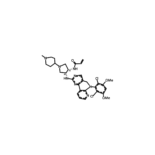 C=CC(=O)N[C@H]1CN(C2CCN(C)CC2)C[C@H]1Nc1ncc2c(n1)-c1cccnc1N(c1c(Cl)c(OC)cc(OC)c1Cl)C2